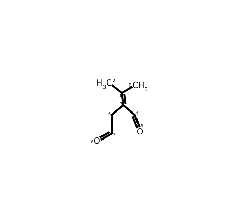 CC(C)=C(C=O)CC=O